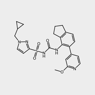 COc1cc(-c2ccc3c(c2NC(=O)NS(=O)(=O)c2ccn(CC4CC4)n2)CCC3)ccn1